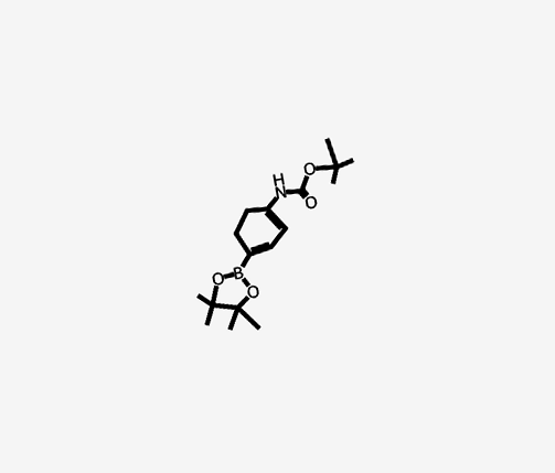 CC(C)(C)OC(=O)NC1=CC=C(B2OC(C)(C)C(C)(C)O2)CC1